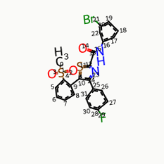 CS(=O)(=O)c1ccccc1-c1sc(C(=O)Nc2cccc(Br)c2)nc1-c1ccc(F)cc1